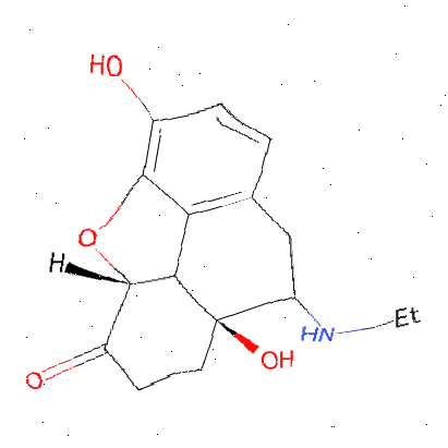 CCNC1Cc2ccc(O)c3c2C2[C@@H](O3)C(=O)CC[C@@]12O